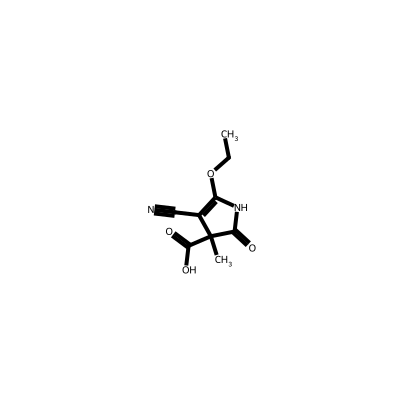 CCOC1=C(C#N)C(C)(C(=O)O)C(=O)N1